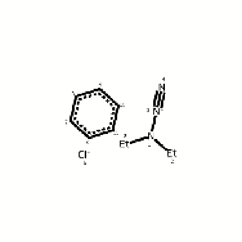 CCN(CC)[N+]#N.[Cl-].c1ccccc1